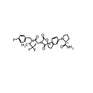 C[C@H](N(Cc1ccc(F)cc1)C(=O)CN1C(=O)O[C@@]2(CCc3cc(N4CCC[C@H]4C(N)=O)ccc32)C1=O)C(F)(F)F